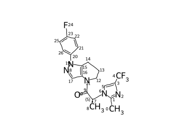 Cc1nc(C(F)(F)F)cn1[C@@H](C)C(=O)N1CCCc2c1cnn2-c1ccc(F)cc1